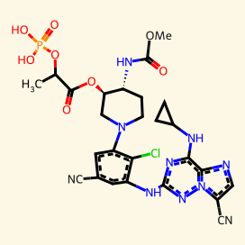 COC(=O)N[C@@H]1CCN(c2cc(C#N)cc(Nc3nc(NC4CC4)c4ncc(C#N)n4n3)c2Cl)C[C@H]1OC(=O)C(C)OP(=O)(O)O